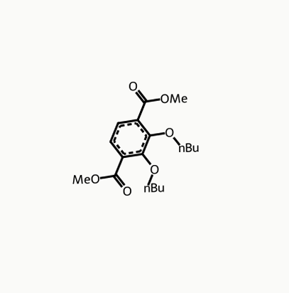 CCCCOc1c(C(=O)OC)ccc(C(=O)OC)c1OCCCC